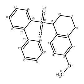 COc1ccc2c(c1)CCCC2S(=O)(=O)c1ccccc1-c1ccccc1